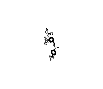 CCOC(=O)Nc1ccc(CCNc2ccc(C(F)(F)F)cc2)cc1[N+](=O)[O-]